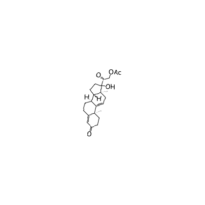 CC(=O)OCC(=O)C1(O)CC[C@H]2[C@@H]3CCC4=CC(=O)CC[C@]4(C)C3=CC[C@@]21C